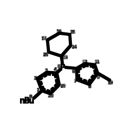 CCCCc1ccc(P(c2ccc(C)cc2)C2CCCCC2)cc1